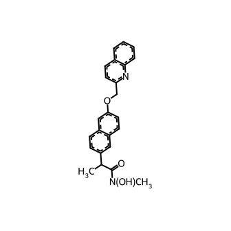 CC(C(=O)N(C)O)c1ccc2cc(OCc3ccc4ccccc4n3)ccc2c1